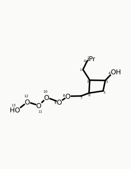 CC(C)CC1C(O)CC1COOOOOO